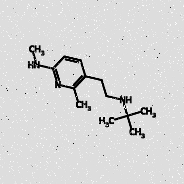 CNc1ccc(CCNC(C)(C)C)c(C)n1